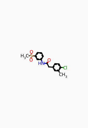 Cc1cc(CC(=O)Nc2cccc(S(C)(=O)=O)c2)ccc1Cl